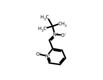 CC(C)(C)[N+]([O-])=Cc1cccc[n+]1[O-]